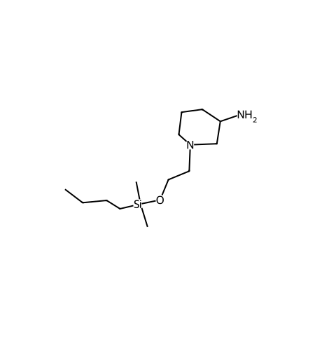 CCCC[Si](C)(C)OCCN1CCCC(N)C1